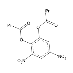 CC(C)C(=O)Oc1cc([N+](=O)[O-])cc([N+](=O)[O-])c1OC(=O)C(C)C